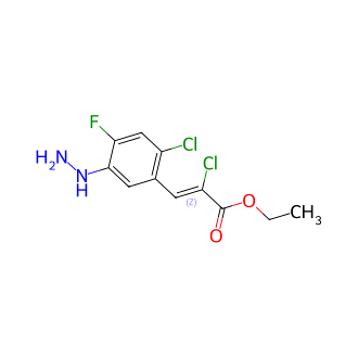 CCOC(=O)/C(Cl)=C/c1cc(NN)c(F)cc1Cl